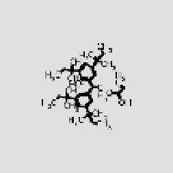 C=CC(=O)O.CCC(C)(C)c1cc(C(C)c2cc(C(C)(C)CC)cc(C(C)(C)CC)c2O)cc(C(C)(C)CC)c1